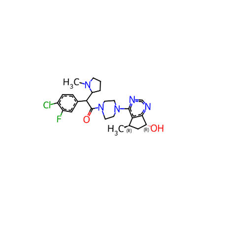 C[C@@H]1C[C@@H](O)c2ncnc(N3CCN(C(=O)C(c4ccc(Cl)c(F)c4)C4CCCN4C)CC3)c21